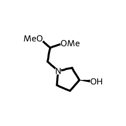 COC(CN1CC[C@H](O)C1)OC